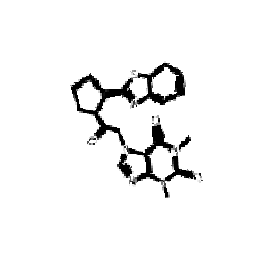 Cn1c(=O)c2c(ncn2CC(=O)C2CCCC2c2nc3ccccc3s2)n(C)c1=O